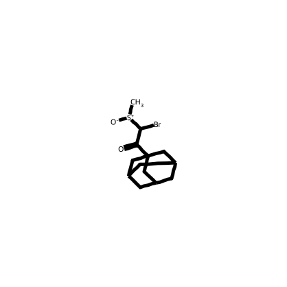 C[S+]([O-])C(Br)C(=O)C12CC3CC(CC(C3)C1)C2